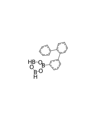 B1OBOB(c2cccc(-c3ccccc3-c3ccccc3)c2)O1